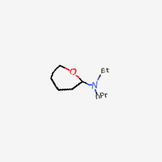 CCCN(CC)[C]1CCCCO1